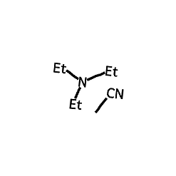 CC#N.CCN(CC)CC